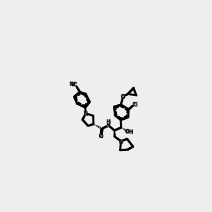 N#Cc1ccc(N2CC[C@@H](C(=O)N[C@H](CN3CCCC3)[C@@H](O)c3ccc(OC4CC4)c(Cl)c3)C2)cc1